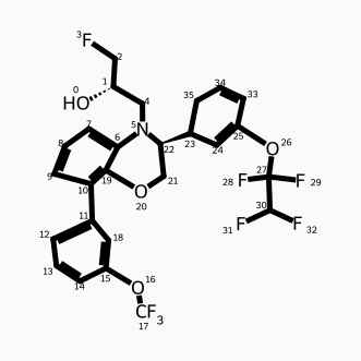 O[C@H](CF)CN1c2cccc(-c3cccc(OC(F)(F)F)c3)c2OC[C@@H]1C1C=C(OC(F)(F)C(F)F)C=CC1